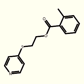 Cc1ccccc1C(=O)OCCSc1ccncc1